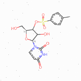 Cc1ccc(S(=O)(=O)OC2C(O)[C@@H](n3ccc(=O)[nH]c3=O)O[C@H]2CO)cc1